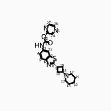 O=C(Nc1ccc2nc([C@H]3C[C@H](N4CCCCC4)C3)sc2c1)Oc1cnccn1